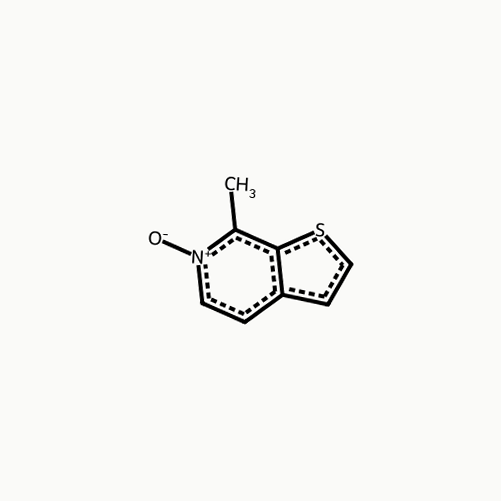 Cc1c2sccc2cc[n+]1[O-]